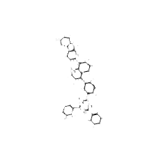 c1ccc(-c2nc(-c3ccccc3)nc(-c3cccc(-c4ccnc5c(-c6ccc7c(n6)oc6ccccc67)cccc45)c3)n2)cc1